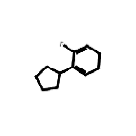 FC1=CCCC=C1C1CCCC1